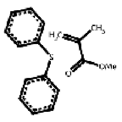 C=C(C)C(=O)OC.c1ccc(Sc2ccccc2)cc1